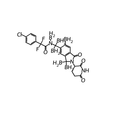 Bc1cc2c(cc1C(B)(B)N(B)C(=O)C(F)(F)c1ccc(Cl)cc1)C(B)(B)N(C1CCC(=O)NC1=O)C2=O